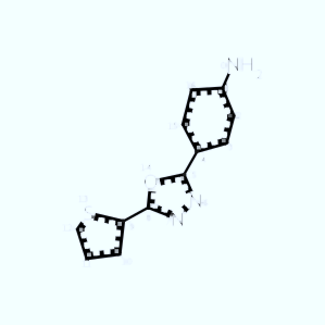 Nc1ccc(-c2nnc(-c3cccs3)o2)cc1